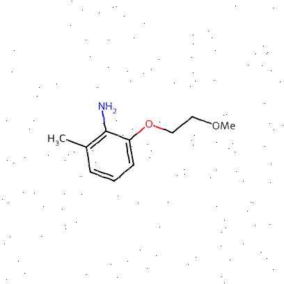 COCCOc1cccc(C)c1N